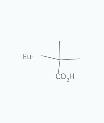 CC(C)(C)C(=O)O.[Eu]